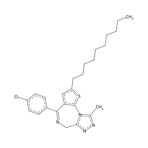 CCCCCCCCCCc1cc2c(s1)-n1c(C)nnc1CN=C2c1ccc(Cl)cc1